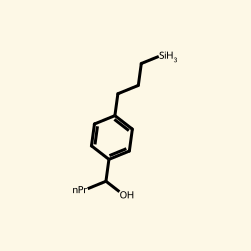 CCCC(O)c1ccc(CCC[SiH3])cc1